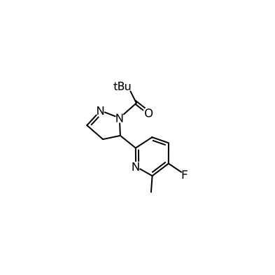 Cc1nc(C2CC=NN2C(=O)C(C)(C)C)ccc1F